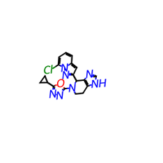 Clc1cccc2cc(C3c4nc[nH]c4CCN3c3nnc(C4CC4)o3)nn12